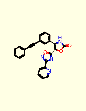 O=C1N[C@H](c2cccc(C#Cc3ccccc3)c2)[C@@H](c2nc(-c3ccccn3)no2)O1